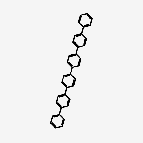 [c]1ccc(-c2ccc(-c3ccc(-c4ccc(-c5ccc(-c6ccccc6)cc5)cc4)cc3)cc2)cc1